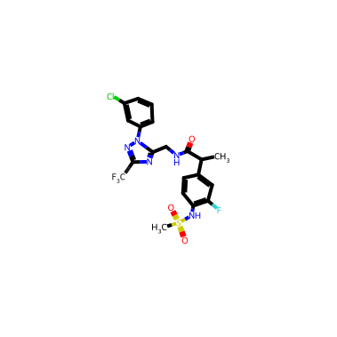 CC(C(=O)NCc1nc(C(F)(F)F)nn1-c1cccc(Cl)c1)c1ccc(NS(C)(=O)=O)c(F)c1